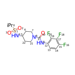 CC(C)S(=O)(=O)NC1CCN(C(=O)Nc2ccc(F)c(F)c2F)CC1